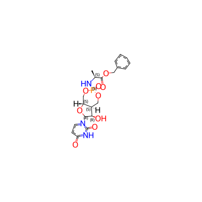 C[C@H](N[P@]1(=O)OC[C@H]2[C@@H](O)[C@H](n3ccc(=O)[nH]c3=O)O[C@@H]2CO1)C(=O)OCc1ccccc1